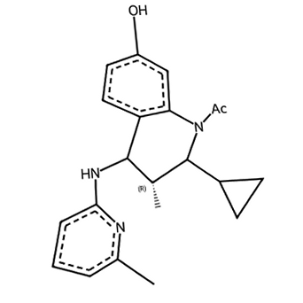 CC(=O)N1c2cc(O)ccc2C(Nc2cccc(C)n2)[C@@H](C)C1C1CC1